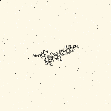 COc1cc(O)cc(C2=CN(C)C(=C=O)C(C(=O)Nc3cccc(Sc4ncc(N5CCC6(CC5)CO[C@@H](C)[C@H]6N)nc4N)c3Cl)=C2O)c1